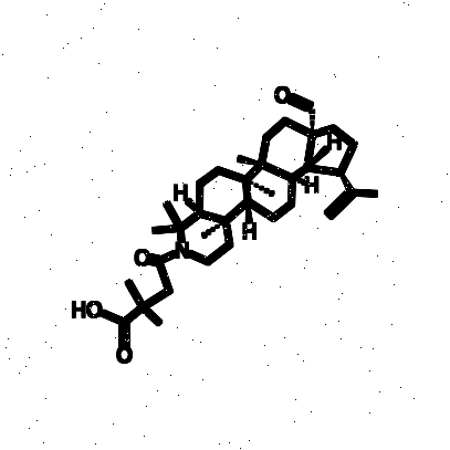 C=C(C)[C@@H]1CC[C@]2(C=O)CC[C@]3(C)[C@H](CC[C@@H]4[C@@]5(C)CCN(C(=O)CC(C)(C)C(=O)O)C(C)(C)[C@@H]5CC[C@]43C)[C@@H]12